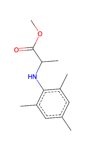 COC(=O)C(C)Nc1c(C)cc(C)cc1C